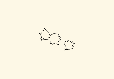 [c]1ncco1.c1ccc2scnc2c1